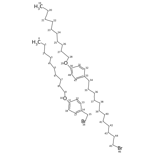 CCCCCCCCCCOc1ccc(CBr)cc1.CCCCCCCCCCOc1ccc(CCCCCCCCCCCCBr)cc1